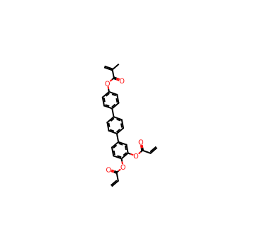 C=CC(=O)Oc1ccc(-c2ccc(-c3ccc(OC(=O)C(=C)C)cc3)cc2)cc1OC(=O)C=C